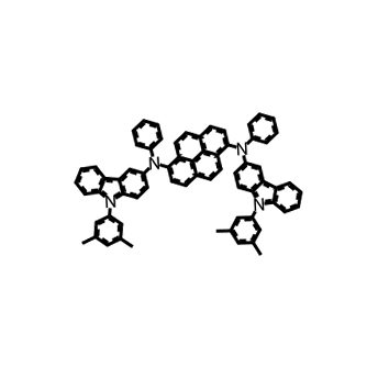 Cc1cc(C)cc(-n2c3ccccc3c3cc(N(c4ccccc4)c4ccc5ccc6c(N(c7ccccc7)c7ccc8c(c7)c7ccccc7n8-c7cc(C)cc(C)c7)ccc7ccc4c5c76)ccc32)c1